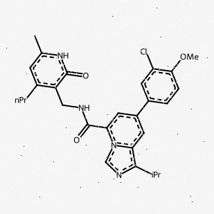 CCCc1cc(C)[nH]c(=O)c1CNC(=O)c1cc(-c2ccc(OC)c(Cl)c2)cc2c(C(C)C)ncn12